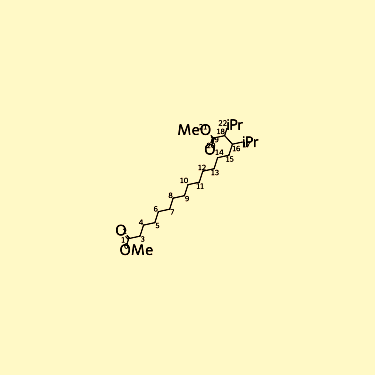 COC(=O)CCCCCCCCCCCCCC(C(C)C)C(C(=O)OC)C(C)C